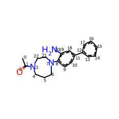 CC(=O)N1CCCN(c2ccc(-c3ccccc3)cc2N)CC1